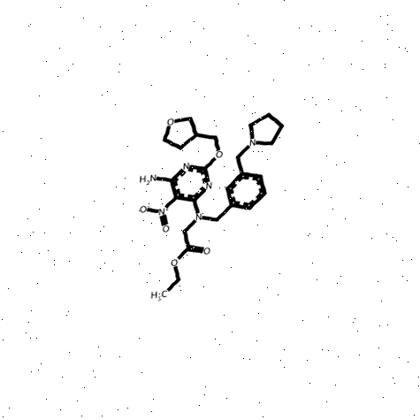 CCOC(=O)CN(Cc1cccc(CN2CCCC2)c1)c1nc(OCC2CCOC2)nc(N)c1[N+](=O)[O-]